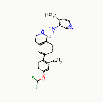 Cc1cc(OC(F)F)ccc1-c1ccc2c(c1)CCN[C@@H]2CNc1cnccc1C(=O)O